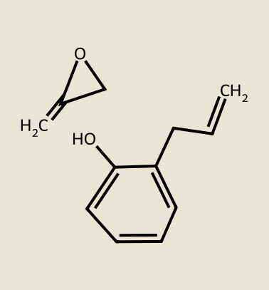 C=C1CO1.C=CCc1ccccc1O